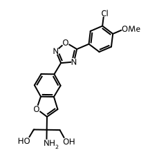 COc1ccc(-c2nc(-c3ccc4oc(C(N)(CO)CO)cc4c3)no2)cc1Cl